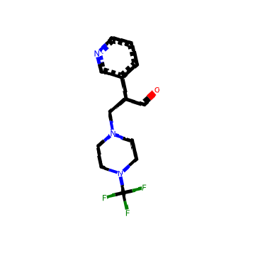 O=CC(CN1CCN(C(F)(F)F)CC1)c1cccnc1